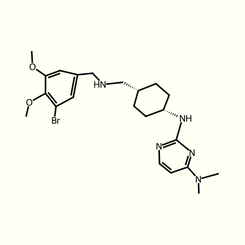 COc1cc(CNC[C@H]2CC[C@@H](Nc3nccc(N(C)C)n3)CC2)cc(Br)c1OC